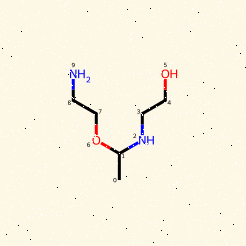 CC(NCCO)OCCN